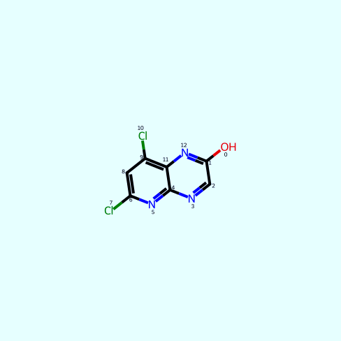 Oc1cnc2nc(Cl)cc(Cl)c2n1